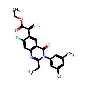 C=C(C(=O)OCC)c1cc2c(=O)n(-c3cc(C)cc(C)c3)c(CC)nc2cc1F